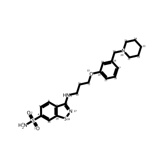 NS(=O)(=O)c1ccc2c(NCCCOc3cccc(CN4CCCCC4)c3)nsc2c1